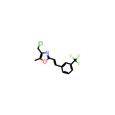 Cc1oc(C=Cc2cccc(C(F)(F)F)c2)nc1CCl